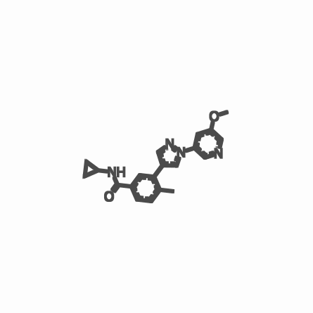 COc1cncc(-n2cc(-c3cc(C(=O)NC4CC4)ccc3C)cn2)c1